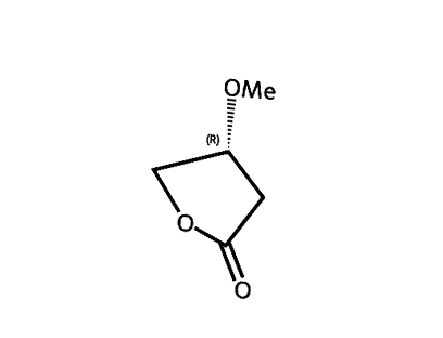 CO[C@H]1COC(=O)C1